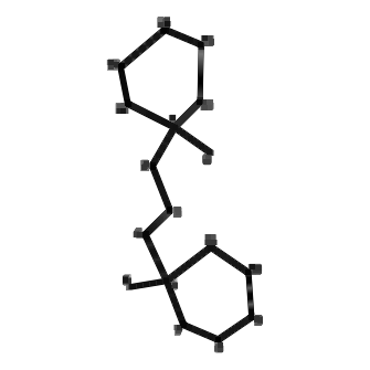 CC1(CCCC2(C)CCCCC2)CCCCC1